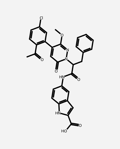 COc1nn(C(Cc2ccccc2)C(=O)Nc2ccc3[nH]c(C(=O)O)cc3c2)c(=O)cc1-c1cc(Cl)ccc1C(C)=O